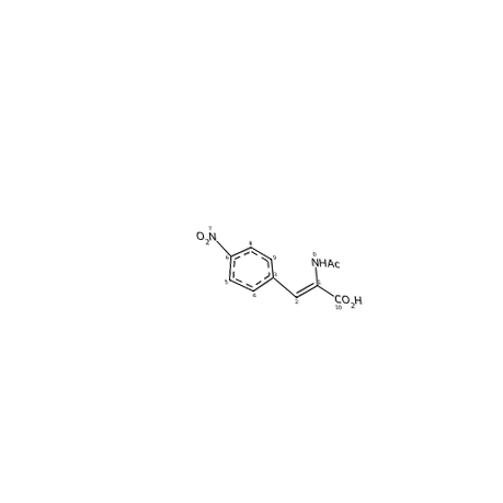 CC(=O)N/C(=C\c1ccc([N+](=O)[O-])cc1)C(=O)O